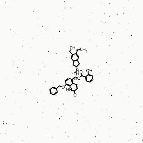 CCc1cc2c(cc1CC)CC(NC[C@H](OC(=O)c1ccccc1O)c1ccc(OCc3ccccc3)c3[nH]c(=O)ccc13)C2